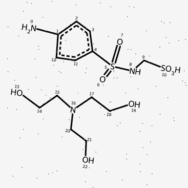 Nc1ccc(S(=O)(=O)NCS(=O)(=O)O)cc1.OCCN(CCO)CCO